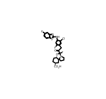 O=C(Cc1cc(Cl)c(Nc2nc3cc(F)ccc3s2)cc1F)C(F)(O[C@H]1CC[C@H](C(=O)O)CC1)N1CCCC1